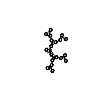 c1ccc(-n2c3ccccc3c3cc(-c4ccc5c(c4)c4cc(-c6ccc7c(c6)c6ccccc6n7-c6ccccc6)ccc4n5-c4ccc(-c5nc(-c6ccc(-n7c8ccc(-c9ccc%10c(c9)c9ccccc9n%10-c9ccccc9)cc8c8cc(-c9ccc%10c(c9)c9ccccc9n%10-c9ccccc9)ccc87)cc6)c6ccccc6n5)cc4)ccc32)cc1